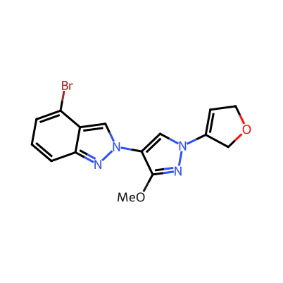 COc1nn(C2=CCOC2)cc1-n1cc2c(Br)cccc2n1